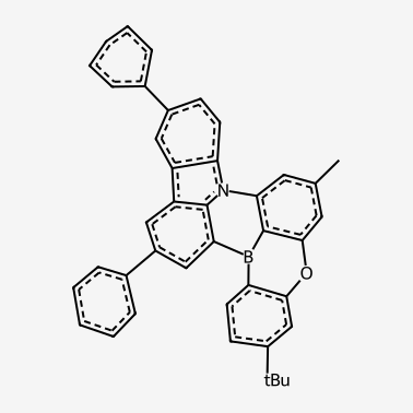 Cc1cc2c3c(c1)-n1c4ccc(-c5ccccc5)cc4c4cc(-c5ccccc5)cc(c41)B3c1ccc(C(C)(C)C)cc1O2